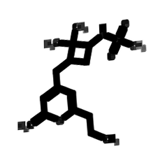 C=C1C=C(CC2CC(NS(C)(=O)=O)C2(C)C)C=C(CCC)O1